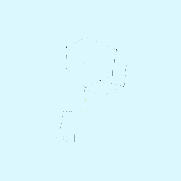 O=C(O)CSC12CC3CC(CC(C3)C1)C2